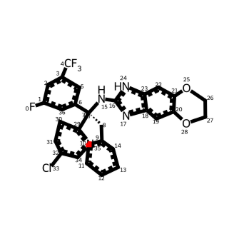 Fc1cc(C(F)(F)F)cc([C@@](Cc2ccccc2)(Nc2nc3cc4c(cc3[nH]2)OCCO4)c2ccc(Cl)cn2)c1